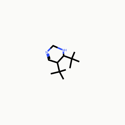 CC(C)(C)C1C=NCNC1C(C)(C)C